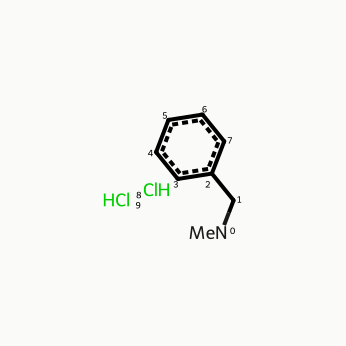 CNCc1ccccc1.Cl.Cl